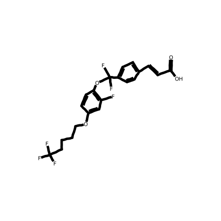 O=C(O)/C=C/c1ccc(C(F)(F)Oc2ccc(OCCCCC(F)(F)F)cc2F)cc1